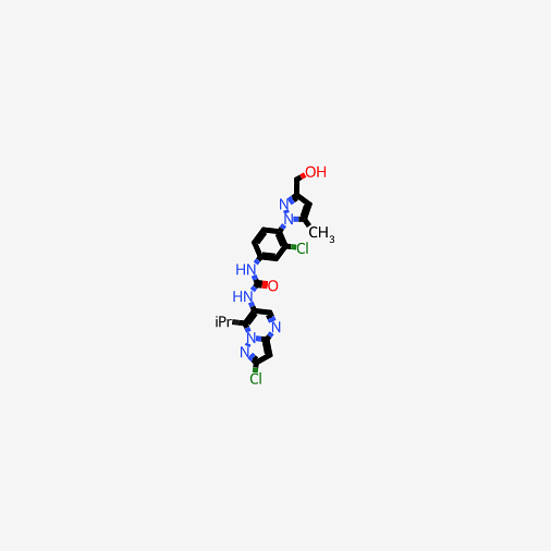 Cc1cc(CO)nn1-c1ccc(NC(=O)Nc2cnc3cc(Cl)nn3c2C(C)C)cc1Cl